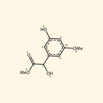 COC(=O)C(O)c1cc(O)cc(OC)c1